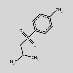 Cc1ccc(S(=O)(=O)CN(C)C)cc1